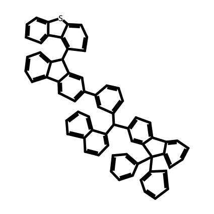 c1ccc(C2(c3ccccc3)c3ccccc3-c3ccc(C(c4cccc(-c5ccc6c(c5)C(c5cccc7sc8ccccc8c57)c5ccccc5-6)c4)c4cccc5ccccc45)cc32)cc1